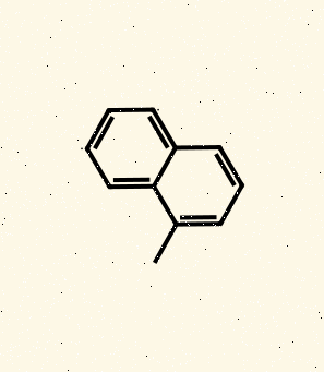 Cc1cccc2[c]c[c]cc12